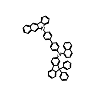 c1ccc(C2(c3ccccc3)c3ccccc3-c3ccc(N(c4ccc(-c5ccc(-n6c7ccccc7c7cc8ccccc8cc76)cc5)cc4)c4cccc5ccccc45)cc32)cc1